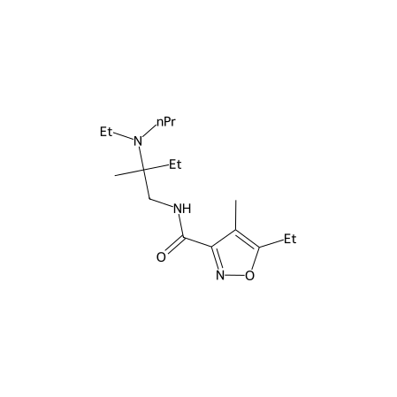 CCCN(CC)C(C)(CC)CNC(=O)c1noc(CC)c1C